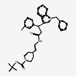 Cc1cccc(C(CC(=O)NCCC2CCN(C(=O)OC(C)(C)C)CC2)c2cn(Cc3ccccc3)c3ccccc23)c1